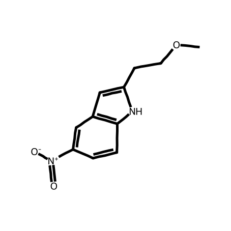 COCCc1cc2cc([N+](=O)[O-])ccc2[nH]1